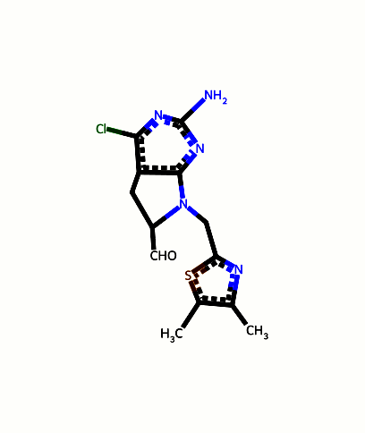 Cc1nc(CN2c3nc(N)nc(Cl)c3CC2C=O)sc1C